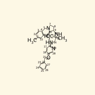 Cc1ccc(CN2CCC(NC(C)(C)CNc3ccc(OCc4ccccc4)cn3)C2=O)cc1